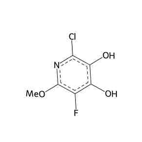 COc1nc(Cl)c(O)c(O)c1F